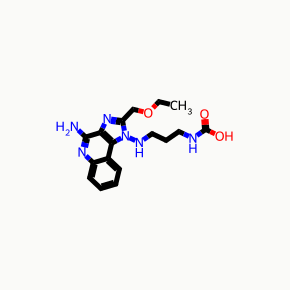 CCOCc1nc2c(N)nc3ccccc3c2n1NCCCNC(=O)O